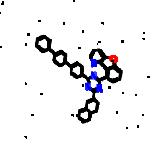 c1ccc(-c2ccc(-c3ccc(-c4nc(-c5ccc6ccccc6c5)nc(-c5cccc6oc7cccnc7c56)n4)cc3)cc2)cc1